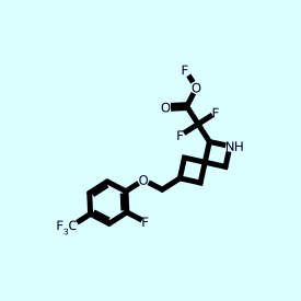 O=C(OF)C(F)(F)C1NCC12CC(COc1ccc(C(F)(F)F)cc1F)C2